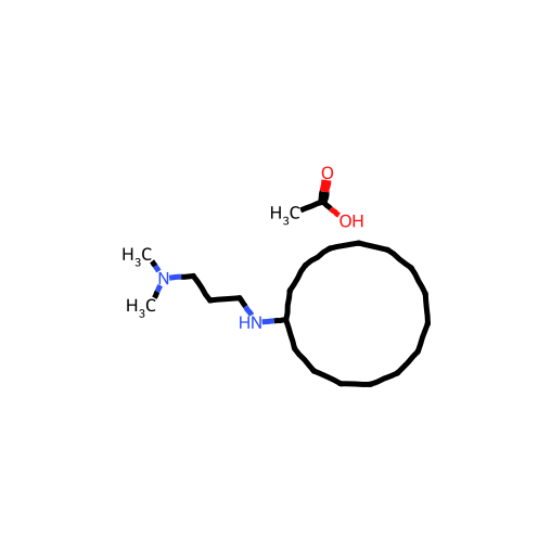 CC(=O)O.CN(C)CCCNC1CCCCCCCCCCCCCC1